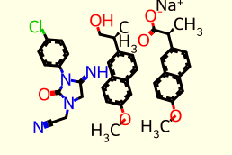 COc1ccc2cc([C@H](C)C(=O)[O-])ccc2c1.COc1ccc2cc([C@H](C)CO)ccc2c1.N#CCN1CC(=N)N(c2ccc(Cl)cc2)C1=O.[Na+]